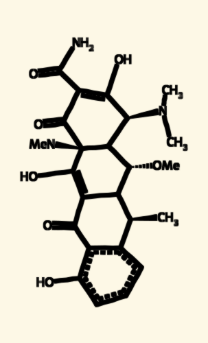 CN[C@@]12C(=O)C(C(N)=O)=C(O)[C@@H](N(C)C)C1[C@H](OC)C1C(=C2O)C(=O)c2c(O)cccc2[C@@H]1C